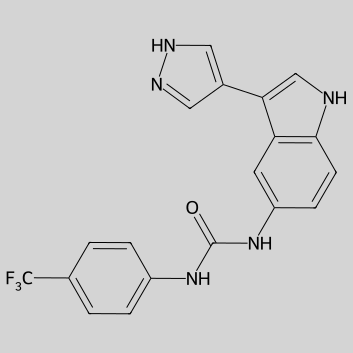 O=C(Nc1ccc(C(F)(F)F)cc1)Nc1ccc2[nH]cc(-c3cn[nH]c3)c2c1